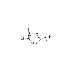 Cc1cc(C(C)(C)F)ccc1Cl